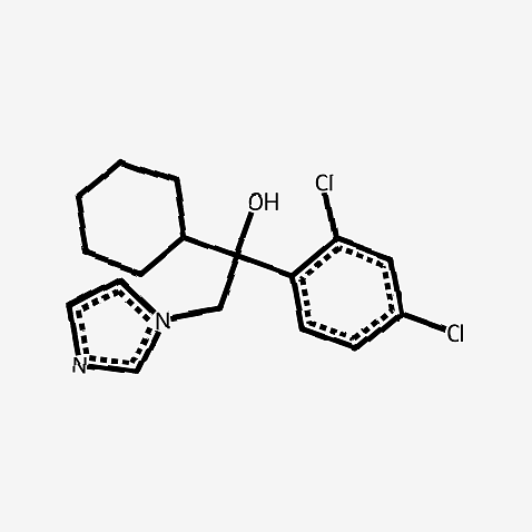 OC(Cn1ccnc1)(c1ccc(Cl)cc1Cl)C1CCCCC1